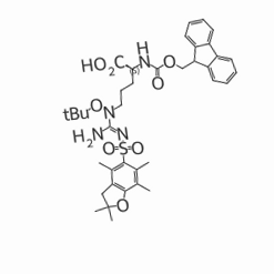 Cc1c(C)c(S(=O)(=O)N=C(N)N(CCC[C@H](NC(=O)OCC2c3ccccc3-c3ccccc32)C(=O)O)OC(C)(C)C)c(C)c2c1OC(C)(C)C2